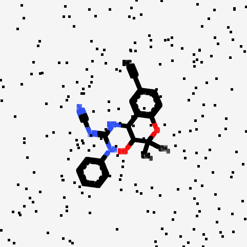 C#Cc1ccc2c(c1)C(N/C(=N\C#N)Nc1ccccc1)C(O)C(C)(C)O2